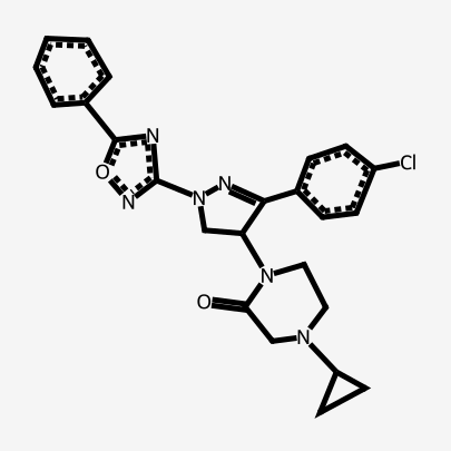 O=C1CN(C2CC2)CCN1C1CN(c2noc(-c3ccccc3)n2)N=C1c1ccc(Cl)cc1